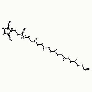 COCCOCCOCCOCCOCCOCCNC(=O)CCN1C(=O)C=CC1=O